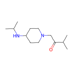 CC(C)NC1CCN(CC(=O)C(C)C)CC1